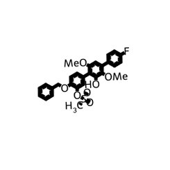 COc1cc(-c2ccc(F)cc2)c(OC)c(O)c1-c1ccc(OCc2ccccc2)c(OS(C)(=O)=O)c1